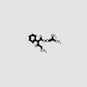 CCC(=O)C(C(=O)OCC=C(C)C)c1ccccc1